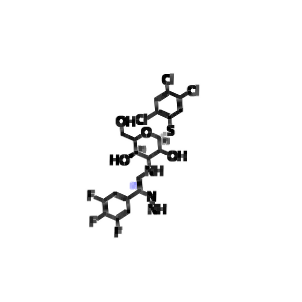 N=N/C(=C\NC1C(O)[C@@H](Sc2cc(Cl)c(Cl)cc2Cl)OC(CO)[C@@H]1O)c1cc(F)c(F)c(F)c1